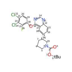 CC(C)(C)OC(=O)N1CCC[C@H](c2ccc3ncnc(Oc4ccc(Cl)c(Cl)c4F)c3c2)C1